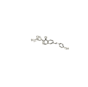 CN(C)CCn1ncc2cc(/C=C/c3ccc(O)cc3)ccc2c1=O